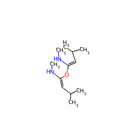 CNC(=CC(C)C)OC(=CC(C)C)NC